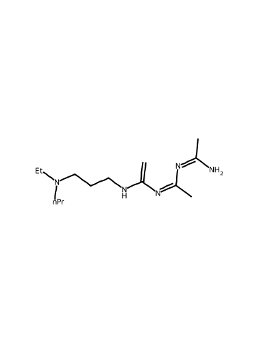 C=C(/N=C(C)\N=C(\C)N)NCCCN(CC)CCC